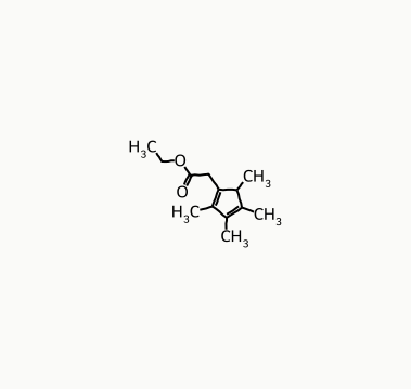 CCOC(=O)CC1=C(C)C(C)=C(C)C1C